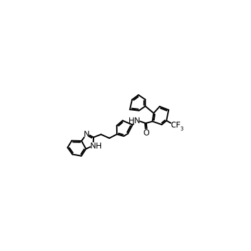 O=C(Nc1ccc(CCc2nc3ccccc3[nH]2)cc1)c1cc(C(F)(F)F)ccc1-c1ccccc1